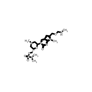 CNCOCc1cc2cn(C3CN(C)C[C@@H](COP(=O)(Cl)N(C)C)O3)c(=O)nc2n1C